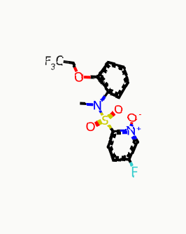 CN(c1ccccc1OCC(F)(F)F)S(=O)(=O)c1ccc(F)c[n+]1[O-]